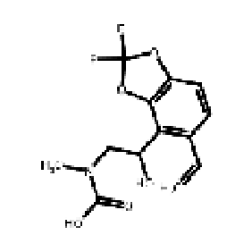 C=Cc1ccc2c(c1C(O)CN(C)C(=O)O)OC(F)(F)O2